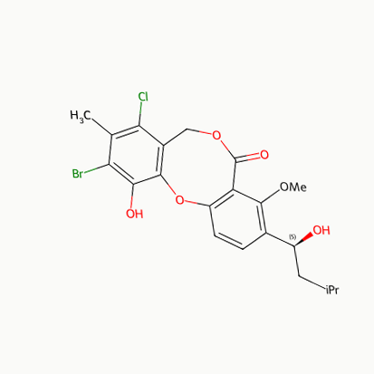 COc1c([C@@H](O)CC(C)C)ccc2c1C(=O)OCc1c(Cl)c(C)c(Br)c(O)c1O2